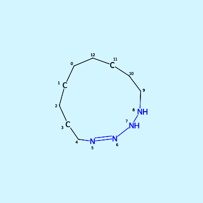 C1CCCCN=NNNCCCC1